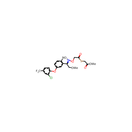 COCC(=NOCC(=O)SCC(=O)OC)c1cc(Oc2ccc(C(F)(F)F)cc2Cl)ccc1[N+](=O)[O-]